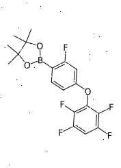 CC1(C)OB(c2ccc(Oc3c(F)c(F)cc(F)c3F)cc2F)OC1(C)C